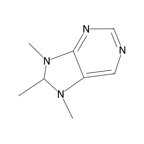 CC1N(C)c2cncnc2N1C